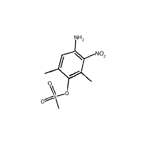 Cc1cc(N)c([N+](=O)[O-])c(C)c1OS(C)(=O)=O